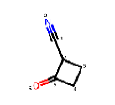 N#CC1CCC1=O